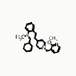 COc1ncccc1CN1CCC(CCc2ccccc2N(C)CC2CCCCC2)CC1